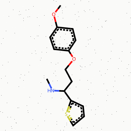 CNC(CCOc1ccc(OC)cc1)c1cccs1